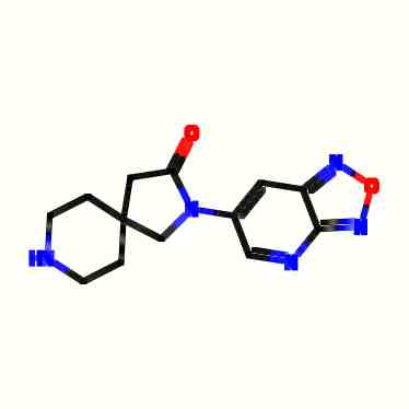 O=C1CC2(CCNCC2)CN1c1cnc2nonc2c1